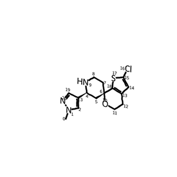 Cn1cc([C@@H]2C[C@]3(CCN2)OCCc2cc(Cl)sc23)cn1